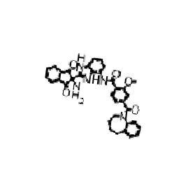 COc1cc(C(=O)N2CCCCc3ccccc32)ccc1C(=O)Nc1cccc2[nH]c(C3(N)C(=O)c4ccccc4C3=O)nc12